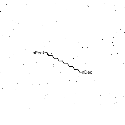 CCCCCC=CCCCCCCCCCCCCCCCCCCCCCC